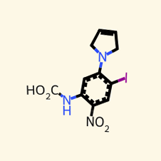 O=C(O)Nc1cc(N2CC=CC2)c(I)cc1[N+](=O)[O-]